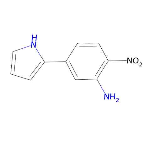 Nc1cc(-c2ccc[nH]2)ccc1[N+](=O)[O-]